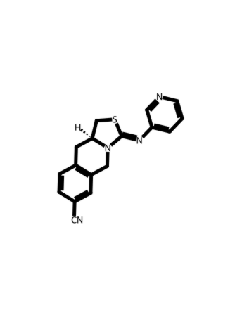 N#Cc1ccc2c(c1)CN1C(=Nc3cccnc3)SC[C@@H]1C2